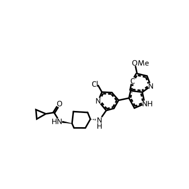 COc1cnc2[nH]cc(-c3cc(Cl)nc(N[C@H]4CC[C@H](NC(=O)C5CC5)CC4)c3)c2c1